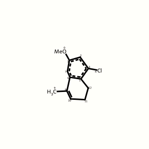 COc1cc(Cl)c2c(c1)C(C)=CCC2